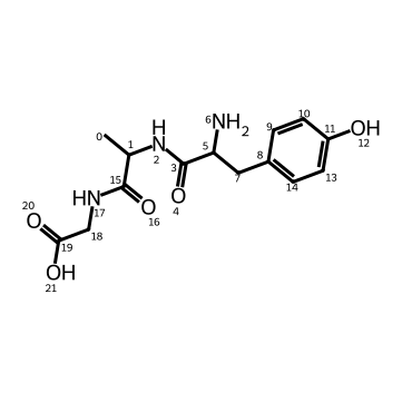 CC(NC(=O)C(N)Cc1ccc(O)cc1)C(=O)NCC(=O)O